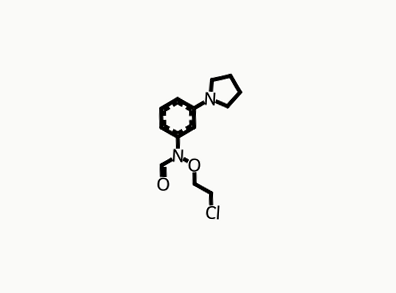 O=CN(OCCCl)c1cccc(N2CCCC2)c1